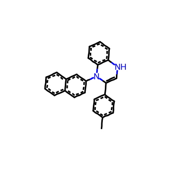 Cc1ccc(C2=CNc3ccccc3N2c2ccc3ccccc3c2)cc1